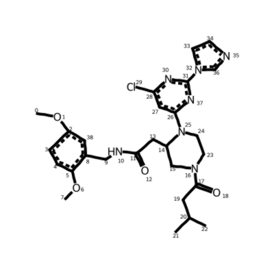 COc1ccc(OC)c(CNC(=O)CC2CN(C(=O)CC(C)C)CCN2c2cc(Cl)nc(-n3ccnc3)n2)c1